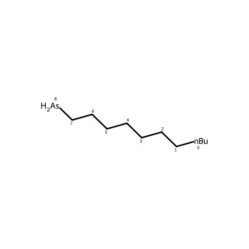 CCCCCCCCCCC[AsH2]